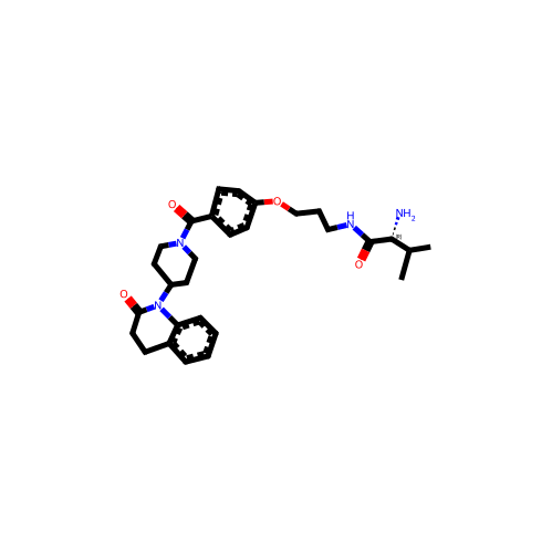 CC(C)[C@@H](N)C(=O)NCCCOc1ccc(C(=O)N2CCC(N3C(=O)CCc4ccccc43)CC2)cc1